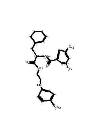 COc1ccc(NCCNC(=O)C(CC2CCCCC2)NC(=O)c2cc(OC)cc(OC)c2)cc1